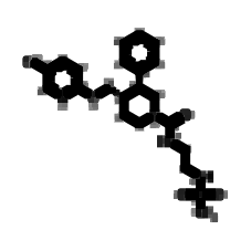 CS(=O)(=O)NCCNC(=O)N1CC[C@H](COc2ccc(Cl)cn2)[C@@H](c2ccccc2)C1